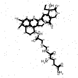 CC[C@@]1(O)C(=O)OCc2c1cc1n(c2=O)Cc2c-1nc1cc(F)c(C)c3c1c2[C@@H](NC(=O)COCNC(=O)[C@@H](N)CCC(N)=O)CC3